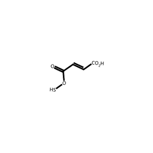 O=C(O)C=CC(=O)OS